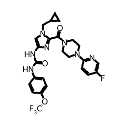 O=C(Nc1ccc(OC(F)(F)F)cc1)Nc1cn(CC2CC2)c(C(=O)N2CCN(c3ccc(F)cn3)CC2)n1